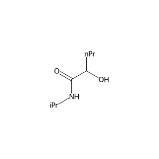 CCCC(O)C(=O)NC(C)C